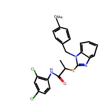 COc1ccc(Cn2c(SC(C)C(=O)Nc3ccc(Cl)cc3Cl)nc3ccccc32)cc1